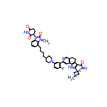 CN1CC2(CNC(=O)c3c2[nH]c2c3CCc3cnc(-c4cc(N5CCC(CCCCc6cccc7c6n(C)c(=O)n7C6CCC(=O)NC6=O)CC5)ccc4F)cc3-2)C1